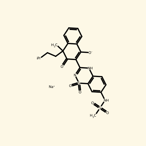 CC(C)CCC1(C)C(=O)C(C2=NS(=O)(=O)c3cc(NS(C)(=O)=O)ccc3N2)=C([O-])c2ccccc21.[Na+]